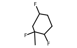 CC1(F)CC(F)CCC1F